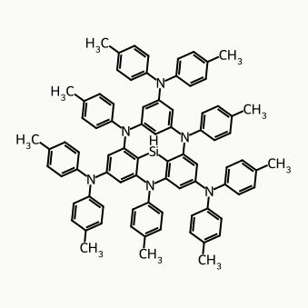 Cc1ccc(N(c2ccc(C)cc2)c2cc3c4c(c2)N(c2ccc(C)cc2)c2cc(N(c5ccc(C)cc5)c5ccc(C)cc5)cc5c2[SiH]4c2c(cc(N(c4ccc(C)cc4)c4ccc(C)cc4)cc2N5c2ccc(C)cc2)N3c2ccc(C)cc2)cc1